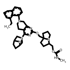 CCc1cccc2cccc(N3CCc4c(nc(OCC56CCCN5C(COC(=O)NC)CC6)nc4N4CC5CCC(C4)N5)C3)c12